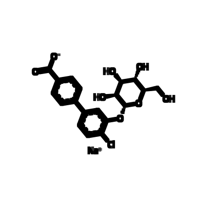 O=C([O-])c1ccc(-c2ccc(Cl)c(O[C@H]3O[C@H](CO)[C@@H](O)[C@H](O)[C@@H]3O)c2)cc1.[Na+]